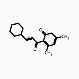 CC1=CC(C)=C(C(=O)/C=C/C2CCCCC2)C(=O)C1